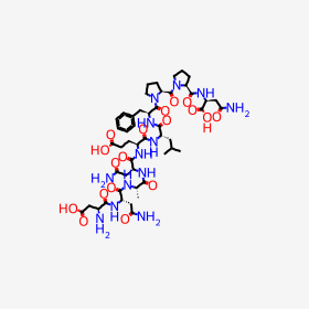 CC(C)C[C@H](NC(=O)[C@H](CCC(=O)O)NC(=O)[C@H](CC(N)=O)NC(=O)[C@H](C)NC(=O)[C@H](CC(N)=O)NC(=O)[C@@H](N)CC(=O)O)C(=O)N[C@@H](Cc1ccccc1)C(=O)N1CCC[C@H]1C(=O)N1CCC[C@H]1C(=O)N[C@@H](CC(N)=O)C(=O)O